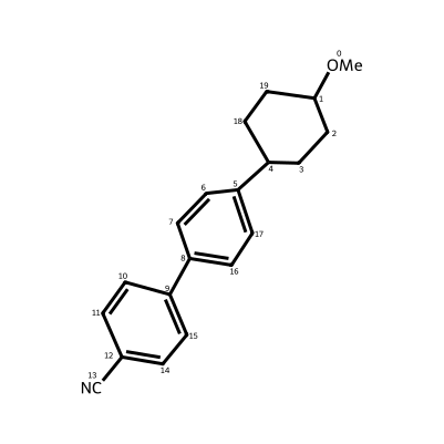 COC1CCC(c2ccc(-c3ccc(C#N)cc3)cc2)CC1